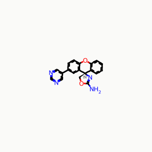 NC1=N[C@@]2(CO1)c1ccccc1Oc1ccc(-c3cncnc3)cc12